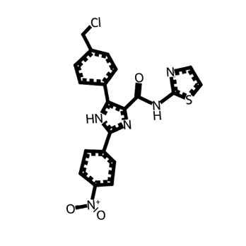 O=C(Nc1nccs1)c1nc(-c2ccc([N+](=O)[O-])cc2)[nH]c1-c1ccc(CCl)cc1